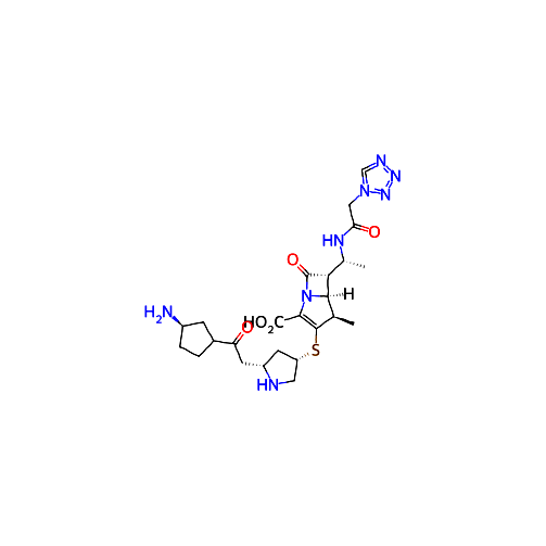 C[C@@H](NC(=O)Cn1cnnn1)[C@H]1C(=O)N2C(C(=O)O)=C(S[C@@H]3CN[C@H](CC(=O)C4CC[C@@H](N)C4)C3)[C@H](C)[C@H]12